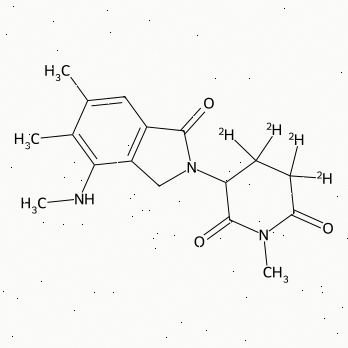 [2H]C1([2H])C(=O)N(C)C(=O)C(N2Cc3c(cc(C)c(C)c3NC)C2=O)C1([2H])[2H]